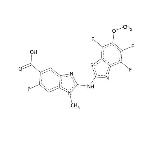 COc1c(F)c(F)c2nc(Nc3nc4cc(C(=O)O)c(F)cc4n3C)sc2c1F